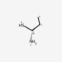 CC[C@H](N)S